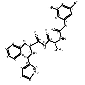 C[C@H](NC(=O)Cc1cc(F)cc(F)c1)C(=O)NC(=O)[C@H](Cc1ccccc1)NCc1cccnc1